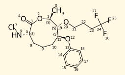 C[C@@H]1OC(=O)[C@@H](NCl)CCC[C@H](Oc2ccccc2)[C@H]1OCCCC(F)(F)F